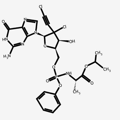 CC(C)OC(=O)[C@H](C)NP(=O)(OC[C@H]1O[C@@H](n2cnc3c(=O)[nH]c(N)nc32)C(Cl)(C#CCl)[C@H]1O)Oc1ccccc1